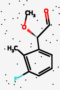 CO[C@H]([C]=O)c1cccc(F)c1C